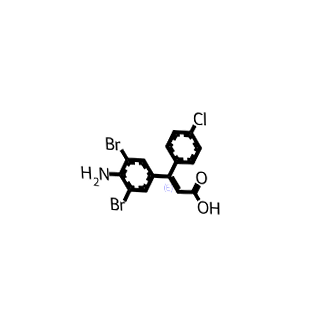 Nc1c(Br)cc(/C(=C/C(=O)O)c2ccc(Cl)cc2)cc1Br